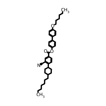 CCCCCCCC1CCC(c2ccc(C(=O)Oc3ccc(-c4ccc(OCCCCCC)cc4)cc3)cc2C#N)CC1